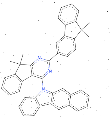 CC1(C)c2ccccc2-c2cc(-c3nc(-n4c5ccccc5c5cc6ccccc6cc54)c4c(n3)C(C)(C)c3ccccc3-4)ccc21